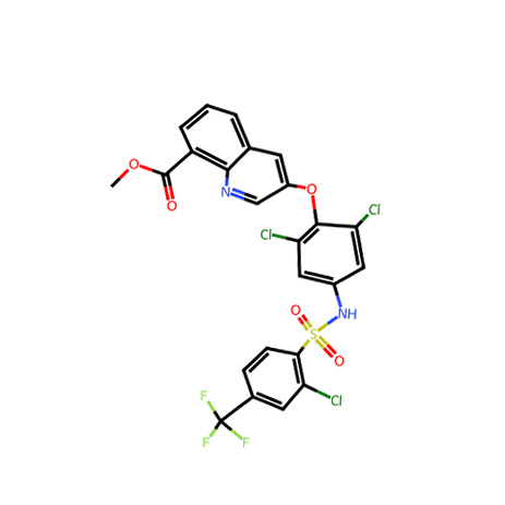 COC(=O)c1cccc2cc(Oc3c(Cl)cc(NS(=O)(=O)c4ccc(C(F)(F)F)cc4Cl)cc3Cl)cnc12